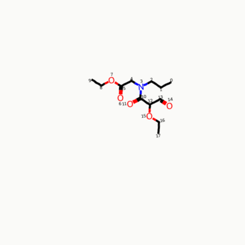 CCCN(CC(=O)OCC)C(=O)C(C=O)OCC